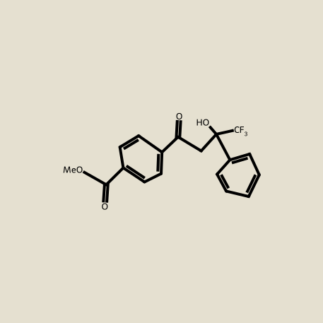 COC(=O)c1ccc(C(=O)CC(O)(c2ccccc2)C(F)(F)F)cc1